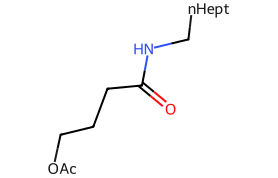 CCCCCCCCNC(=O)CCCOC(C)=O